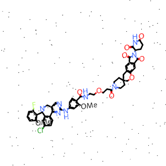 COc1cc(Nc2ncc3c(n2)-c2ccc(Cl)cc2C(c2c(F)cccc2OC)=NC3)ccc1C(=O)NCCOCCC(=O)N1CCC2(CC1)COc1cc3c(cc1C2)C(=O)N(C1CCC(=O)NC1=O)C3=O